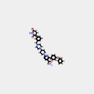 NC(=O)c1ccc(N2CCC(N3CCN(Cc4cccc(C5CCC(=O)NC5=O)c4)CC3)CC2)nc1-c1ccc(Oc2ccccc2)cc1